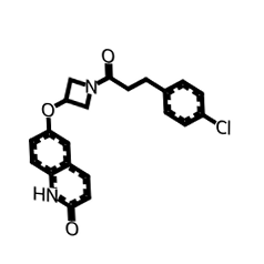 O=C(CCc1ccc(Cl)cc1)N1CC(Oc2ccc3[nH]c(=O)ccc3c2)C1